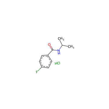 CC(C)NC(=O)c1ccc(F)cc1.Cl